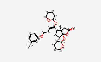 O=C1C[C@H]2[C@H](/C(=C\CCOc3cccc(C(F)(F)F)c3)OC3CCCCO3)CC[C@@]2(OC2CCCCO2)O1